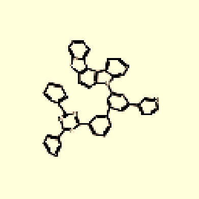 c1ccc(-c2nc(-c3ccccc3)nc(-c3cccc(-c4cc(-c5cccnc5)cc(-n5c6ccccc6c6c7c(ccc65)sc5ccccc57)c4)c3)n2)cc1